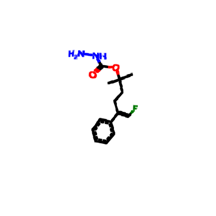 CC(C)(CC/C(=C\F)c1ccccc1)OC(=O)NN